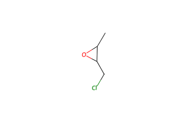 CC1OC1CCl